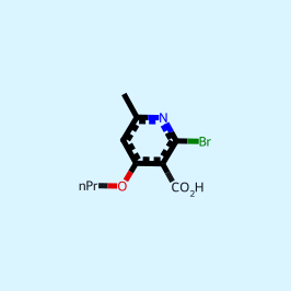 CCCOc1cc(C)nc(Br)c1C(=O)O